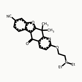 CCN(CC)CCOc1ccc2c(n1)C(C)(C)c1oc3cc(C#N)ccc3c1C2=O